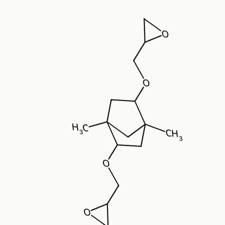 CC12CC(OCC3CO3)C(C)(CC1OCC1CO1)C2